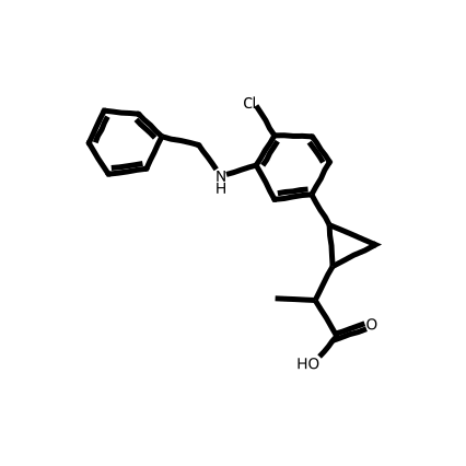 CC(C(=O)O)C1CC1c1ccc(Cl)c(NCc2ccccc2)c1